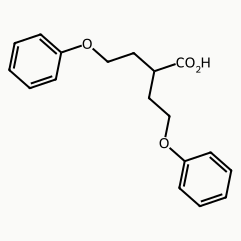 O=C(O)C(CCOc1ccccc1)CCOc1ccccc1